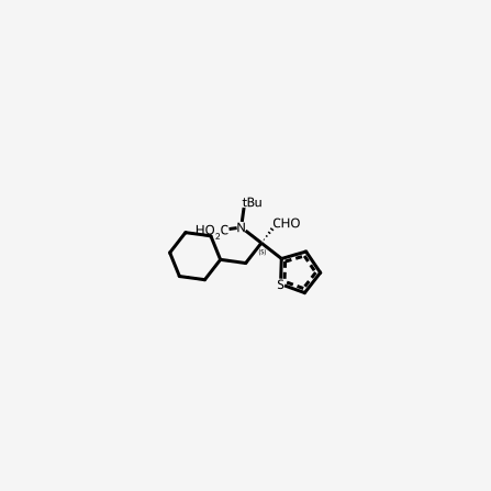 CC(C)(C)N(C(=O)O)[C@](C=O)(CC1CCCCC1)c1cccs1